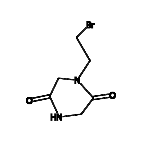 O=C1CN(CCBr)C(=O)CN1